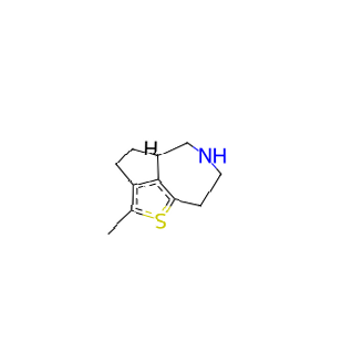 Cc1sc2c3c1CC[C@H]3CNCC2